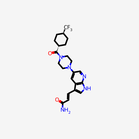 NC(=O)/C=C/c1c[nH]c2ncc(N3CCN(C(=O)[C@H]4CC[C@H](C(F)(F)F)CC4)CC3)cc12